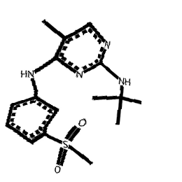 Cc1cnc(NC(C)(C)C)nc1Nc1cccc(S(C)(=O)=O)c1